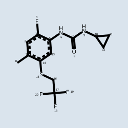 Cc1cc(F)c(NC(=O)NC2CC2)cc1SCC(F)(F)F